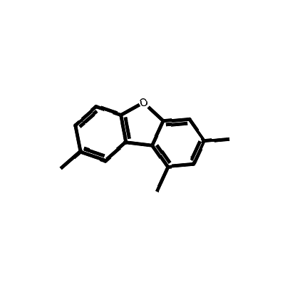 Cc1cc(C)c2c(c1)oc1ccc(C)cc12